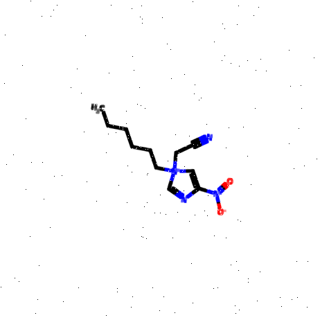 CCCCCC[N+]1(CC#N)C=NC([N+](=O)[O-])=C1